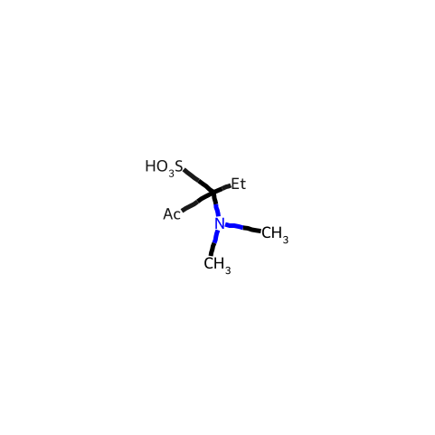 CCC(C(C)=O)(N(C)C)S(=O)(=O)O